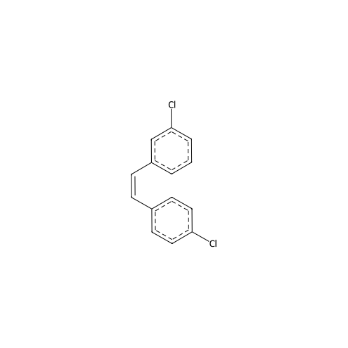 Clc1ccc(/C=C\c2cccc(Cl)c2)cc1